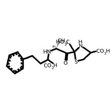 C[C@@H](NC(CCc1ccccc1)C(=O)O)C(=O)C1(C(=O)O)NC(C(=O)O)CS1